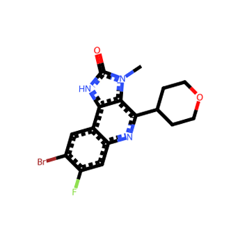 Cn1c(=O)[nH]c2c3cc(Br)c(F)cc3nc(C3CCOCC3)c21